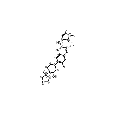 Cc1cc2cnc(Nc3cnn(C)c3C(F)(F)F)nc2cc1C1CCN([C@@]2(C)COC[C@H]2O)CC1